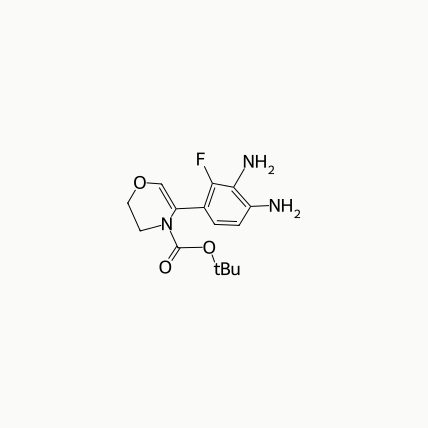 CC(C)(C)OC(=O)N1CCOC=C1c1ccc(N)c(N)c1F